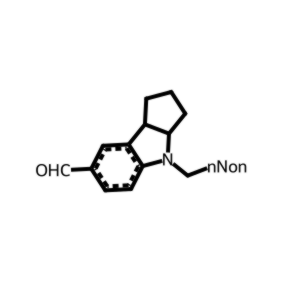 CCCCCCCCCCN1c2ccc(C=O)cc2C2CCCC21